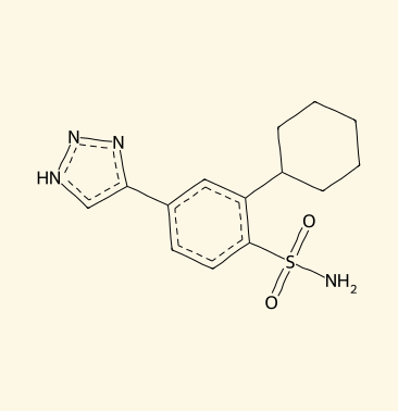 NS(=O)(=O)c1ccc(-c2c[nH]nn2)cc1C1CCCCC1